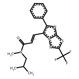 CC(C)CN(C)C(=O)/C=C/c1c(-c2ccccc2)nc2sc(C(F)(F)F)nn12